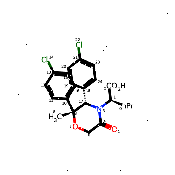 CCC[C@H](C(=O)O)N1C(=O)CO[C@](C)(c2ccc(Cl)cc2)[C@@H]1c1ccc(Cl)cc1